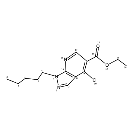 CCCCCn1ncc2c(Cl)c(C(=O)OCC)cnc21